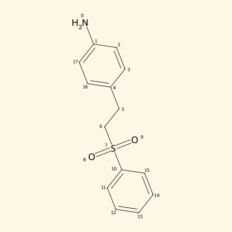 Nc1ccc(CCS(=O)(=O)c2ccccc2)cc1